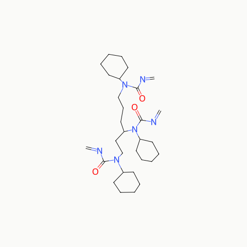 C=NC(=O)N(CCCC(CCN(C(=O)N=C)C1CCCCC1)N(C(=O)N=C)C1CCCCC1)C1CCCCC1